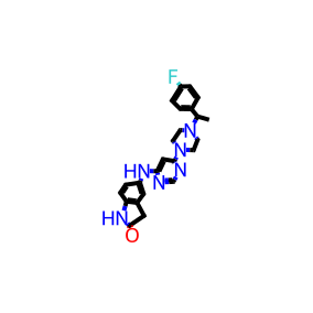 CC(c1ccc(F)cc1)N1CCN(c2cc(Nc3ccc4c(c3)CC(=O)N4)ncn2)CC1